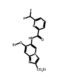 CCOC(=O)c1cn2cc(NC(=O)c3cccc(C(F)F)n3)c(OCC)cc2n1